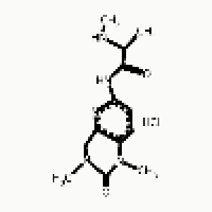 CNC(C)C(=O)Nc1ccc2c(n1)CN(C)C(=O)N2C.Cl